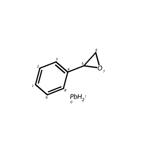 [PbH2].c1ccc(C2CO2)cc1